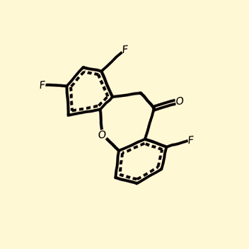 O=C1Cc2c(F)cc(F)cc2Oc2cccc(F)c21